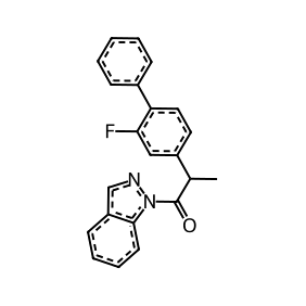 CC(C(=O)n1ncc2ccccc21)c1ccc(-c2ccccc2)c(F)c1